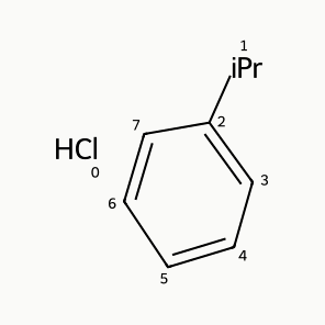 Cl.[CH2]C(C)c1ccccc1